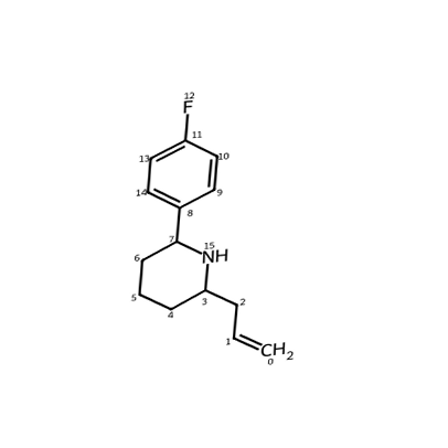 C=CCC1CCCC(c2ccc(F)cc2)N1